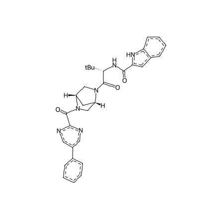 CC(C)(C)[C@H](NC(=O)c1cc2ccccc2[nH]1)C(=O)N1C[C@@H]2C[C@H]1CN2C(=O)c1ncc(-c2ccccc2)cn1